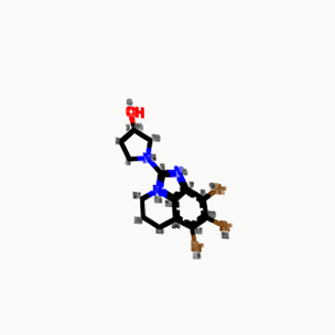 O[C@@H]1CCN(c2nc3c(Br)c(Br)c(Br)c4c3n2CCC4)C1